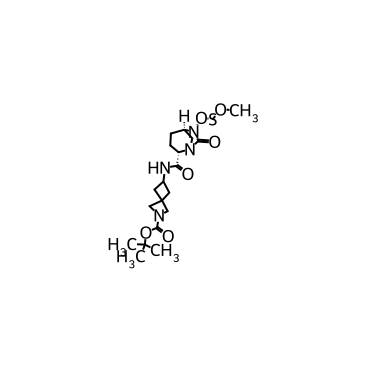 COSON1C(=O)N2C[C@H]1CC[C@H]2C(=O)NC1CC2(C1)CN(C(=O)OC(C)(C)C)C2